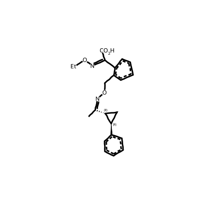 CCON=C(C(=O)O)c1ccccc1CON=C(C)[C@@H]1C[C@H]1c1ccccc1